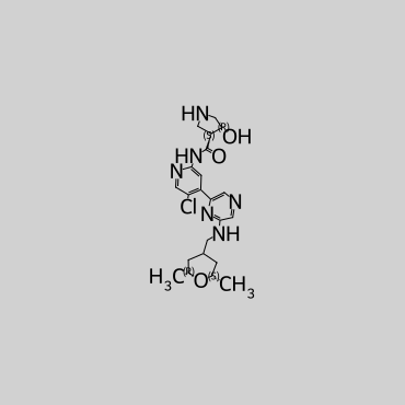 C[C@@H]1CC(CNc2cncc(-c3cc(NC(=O)[C@H]4CNC[C@@H]4O)ncc3Cl)n2)C[C@H](C)O1